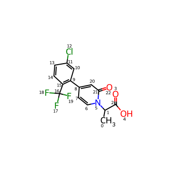 CC(C(=O)O)n1ccc(-c2cc(Cl)ccc2C(F)(F)F)cc1=O